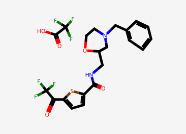 O=C(NCC1CN(Cc2ccccc2)CCO1)c1ccc(C(=O)C(F)(F)F)s1.O=C(O)C(F)(F)F